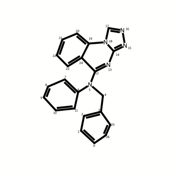 c1ccc(CN(c2ccccc2)c2nc3nncn3c3ccccc23)cc1